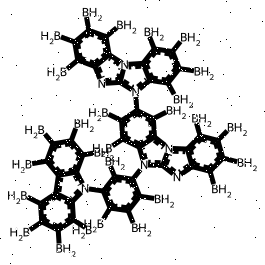 Bc1c(B)c(-n2c3c(B)c(B)c(B)c(B)c3c3c(B)c(B)c(B)c(B)c32)c(B)c(-n2c3c(B)c(B)c(-n4c5c(B)c(B)c(B)c(B)c5n5c6c(B)c(B)c(B)c(B)c6nc45)c(B)c3n3c4c(B)c(B)c(B)c(B)c4nc23)c1B